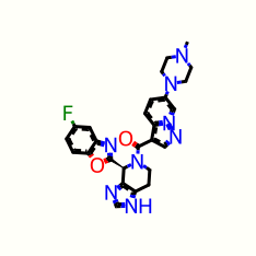 CN1CCN(c2ccc3c(C(=O)N4CCc5[nH]cnc5[C@H]4c4nc5cc(F)ccc5o4)cnn3c2)CC1